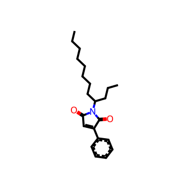 CCCCCCCCC(CCC)N1C(=O)C=C(c2ccccc2)C1=O